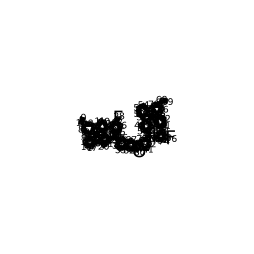 C=CC1=CCC(C2(C3=CCCC=C3)c3ccccc3-c3ccc(N(C4=CC=C(F)CC4)c4ccc5c(c4)=CC4C6=C(CCC(N(C7=CC8C(C=C7)C7C=CC=CC7C8(c7ccccc7)c7ccc(C=C)cc7)c7ccc(F)cc7)=C6)OC4C=5)cc32)C=C1